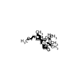 COCCn1nc(C(=O)C[C@@H]2CC(=O)N2[C@](C)(O[SiH](C)C)C(C)(C)C)cc1C